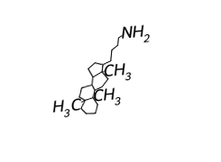 CC12CCC3C(CCC4(C)CCCCC34C)C1CCC2CCCCN